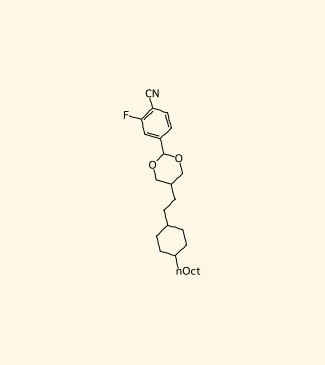 CCCCCCCCC1CCC(CCC2COC(c3ccc(C#N)c(F)c3)OC2)CC1